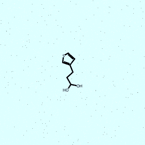 OC(O)CCc1ccsc1